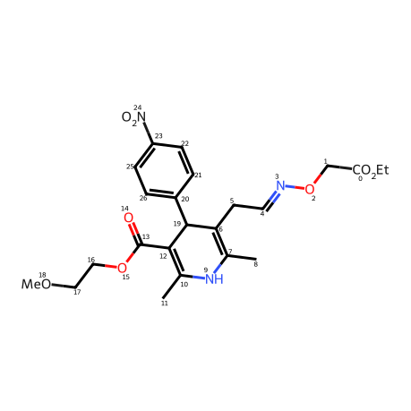 CCOC(=O)CON=CCC1=C(C)NC(C)=C(C(=O)OCCOC)C1c1ccc([N+](=O)[O-])cc1